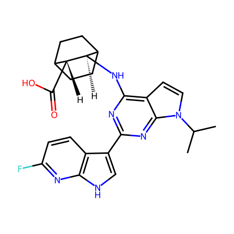 CC(C)n1ccc2c(N[C@@H]3C4CCC(CC4)[C@H]3C(=O)O)nc(-c3c[nH]c4nc(F)ccc34)nc21